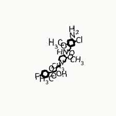 COc1cc(N)c(Cl)cc1C(=O)NC1CCN(CCC(O)C(OC)(OC)c2ccc(F)cc2)CC1OC